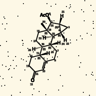 CC(=O)O[C@H]1[C@@H]2C[C@@H]2[C@H]2[C@@H]3CCC4=CC(=O)CC[C@@H]4[C@H]3CC[C@@]21C